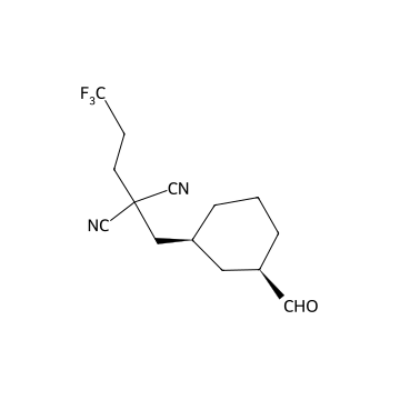 N#CC(C#N)(CCC(F)(F)F)C[C@H]1CCC[C@@H](C=O)C1